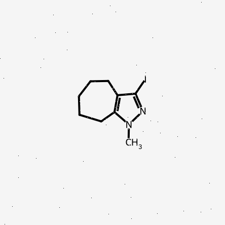 Cn1nc(I)c2c1CCCCC2